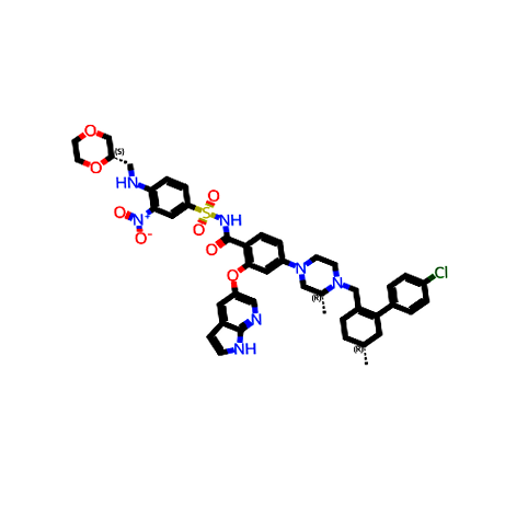 C[C@@H]1CCC(CN2CCN(c3ccc(C(=O)NS(=O)(=O)c4ccc(NC[C@H]5COCCO5)c([N+](=O)[O-])c4)c(Oc4cnc5[nH]ccc5c4)c3)C[C@H]2C)=C(c2ccc(Cl)cc2)C1